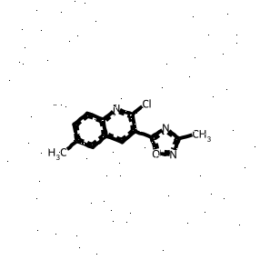 Cc1ccc2nc(Cl)c(-c3nc(C)no3)cc2c1